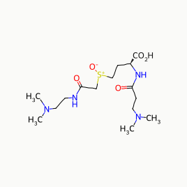 CN(C)CCNC(=O)C[S+]([O-])CC[C@H](NC(=O)CCN(C)C)C(=O)O